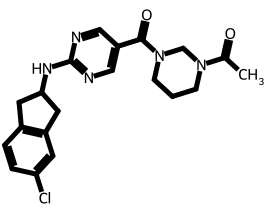 CC(=O)N1CCCN(C(=O)c2cnc(NC3Cc4ccc(Cl)cc4C3)nc2)C1